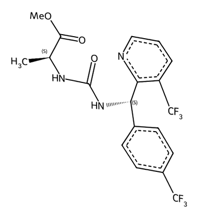 COC(=O)[C@H](C)NC(=O)N[C@@H](c1ccc(C(F)(F)F)cc1)c1ncccc1C(F)(F)F